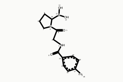 O=C(NCC(=O)N1CCCC1B(O)O)c1ccc([123I])cc1